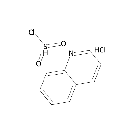 Cl.O=[SH](=O)Cl.c1ccc2ncccc2c1